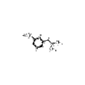 CN(C)Cc1cncc(C(=O)O)n1